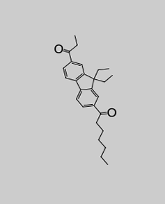 CCCCCCC(=O)c1ccc2c(c1)C(CC)(CC)c1cc(C(=O)CC)ccc1-2